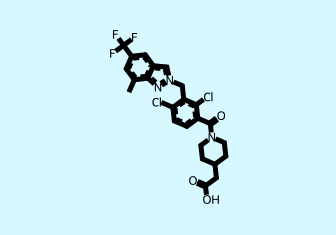 Cc1cc(C(F)(F)F)cc2cn(Cc3c(Cl)ccc(C(=O)N4CCC(CC(=O)O)CC4)c3Cl)nc12